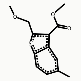 COCc1sc2ccc(C)cc2c1C(=O)OC